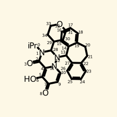 CC(C)N1C(=O)c2c(O)c(=O)ccn2N(C2c3ccccc3CCc3ccccc32)C1C1CCOCC1